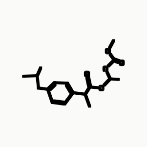 COC(=O)OC(C)OC(=O)C(C)c1ccc(CC(C)C)cc1